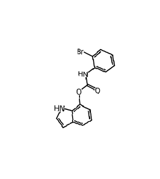 O=C(Nc1ccccc1Br)Oc1cccc2cc[nH]c12